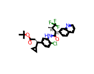 C[C@H]([C@@H](C(=O)Nc1cc([C@@H](CC(=O)OC(C)(C)C)C2CC2)ccc1Cl)c1ccc2cccnc2c1)C(F)(F)F